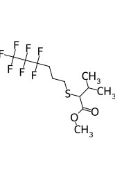 COC(=O)C(SCCCC(F)(F)C(F)(F)C(F)(F)F)C(C)C